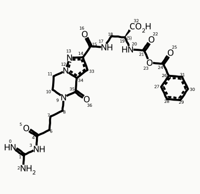 N=C(N)NC(=O)CCCN1CCn2nc(C(=O)NC[C@H](NC(=O)OC(=O)c3ccccc3)C(=O)O)cc2C1=O